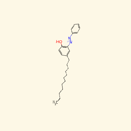 CCCCCCCCCCCCc1ccc(O)c(/N=N/c2ccccc2)c1